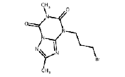 Cc1nc2n(CCCBr)c(=O)n(C)c(=O)n2n1